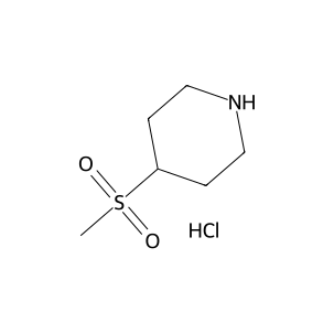 CS(=O)(=O)C1CCNCC1.Cl